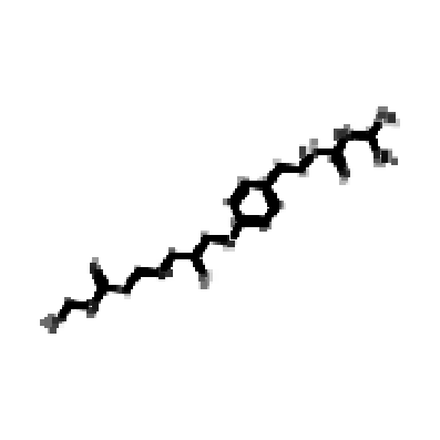 CCOC(=O)CCNCC(O)COc1ccc(CCNC(=O)NC(C)C)cc1